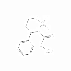 CC(C)(C)OC(=O)N1C(c2ccccc2)CCOS1(=O)=O